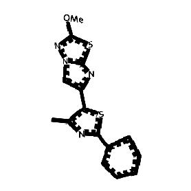 COc1nn2cc(-c3sc(-c4ccccc4)nc3C)nc2s1